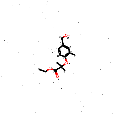 CCOC(=O)C(C)(C)Oc1ccc(CO)cc1C